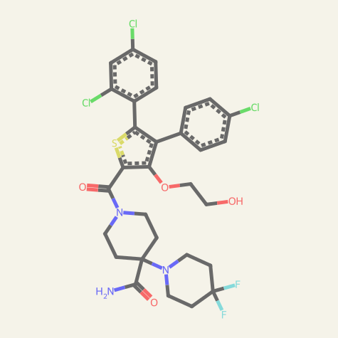 NC(=O)C1(N2CCC(F)(F)CC2)CCN(C(=O)c2sc(-c3ccc(Cl)cc3Cl)c(-c3ccc(Cl)cc3)c2OCCO)CC1